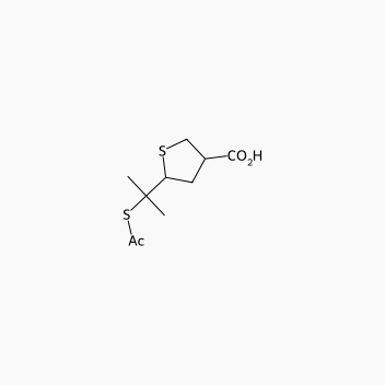 CC(=O)SC(C)(C)C1CC(C(=O)O)CS1